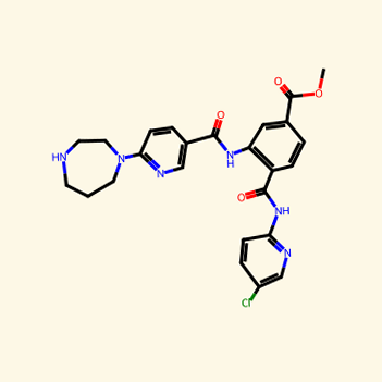 COC(=O)c1ccc(C(=O)Nc2ccc(Cl)cn2)c(NC(=O)c2ccc(N3CCCNCC3)nc2)c1